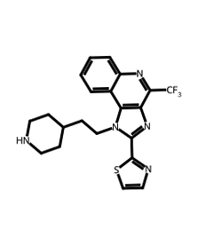 FC(F)(F)c1nc2ccccc2c2c1nc(-c1nccs1)n2CCC1CCNCC1